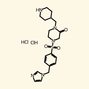 Cl.Cl.O=C1CN(S(=O)(=O)c2ccc(Cn3ccnc3)cc2)CCN1CC1CCNCC1